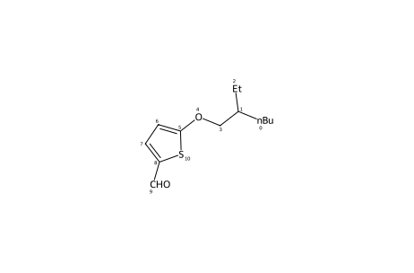 CCCCC(CC)COc1ccc(C=O)s1